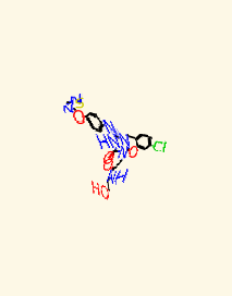 O=C(Cn1c(=O)[nH]/c(=N\c2ccc(Oc3ncns3)cc2)n(Cc2ccc(Cl)cc2)c1=O)NCCO